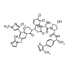 Cc1ncsc1-c1ccc([C@H](C)NC(=O)[C@@H]2C[C@@H](O)CN2C(=O)[C@@H](NC(=O)CC(c2ccc(Cl)c(Cl)c2)C2COc3c(cc(Cn4ccnc4C)cc3-c3cn(C)nc3C(F)(F)F)C2=O)C(C)(C)C)cc1